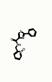 O=C(NCc1cccc[n+]1[O-])c1csc(-c2ccccc2)n1